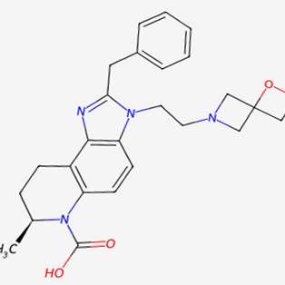 C[C@H]1CCc2c(ccc3c2nc(Cc2ccccc2)n3CCN2CC3(CCO3)C2)N1C(=O)O